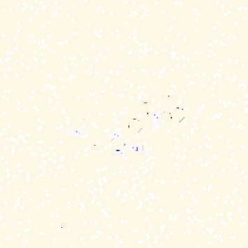 CC(=O)N[C@H]1CC[C@H](c2cnc(N)c(-c3ccc(C(=O)N[C@H](CO)c4cccc(Cl)c4)c(F)c3)n2)CC1